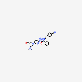 CN(C)CCN(CCC=O)c1ccc(NC(=O)C(NCCc2ccc(C#N)cc2)C2C=CC=CC2)nc1